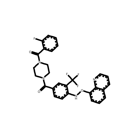 O=C(c1ccc(NOc2cccc3cccnc23)c(C(F)(F)F)c1)N1CCN(C(=O)c2ccccc2F)CC1